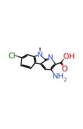 Cn1c2cc(Cl)ccc2c2cc(N)c(C(=O)O)nc21